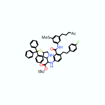 CSc1cc(CCCC(C)=O)cc(NC(=O)c2cc(NC(C(=O)OC(C)(C)C)C3CC(SC(c4ccccc4)(c4ccccc4)c4ccccc4)CN3)ccc2CCc2ccc(F)cc2)c1